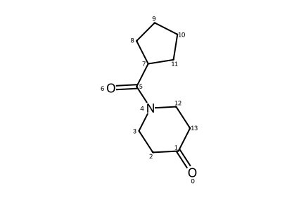 O=C1CCN(C(=O)C2CCCC2)CC1